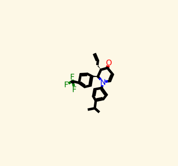 C=CC[C@@H]1C(=O)C=CN(c2ccc(C(C)C)cc2)[C@H]1c1ccc(C(F)(F)F)cc1